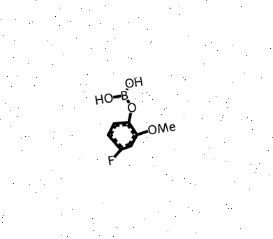 COc1cc(F)ccc1OB(O)O